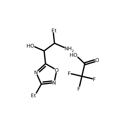 CCc1noc(C(O)C(N)CC)n1.O=C(O)C(F)(F)F